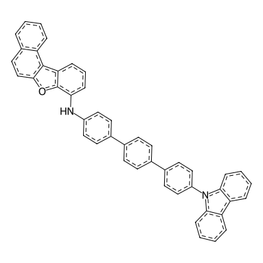 c1ccc2c(c1)ccc1oc3c(Nc4ccc(-c5ccc(-c6ccc(-n7c8ccccc8c8ccccc87)cc6)cc5)cc4)cccc3c12